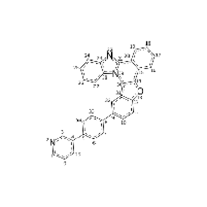 c1cncc(-c2ccc(-c3ccc4oc5c6ccccc6c6nc7ccccc7n6c5c4c3)cc2)c1